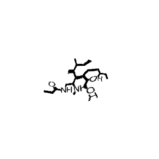 C=CC(=O)NCC(NC)/C(C(=C)C(C)CC)=C(/C=C\C(C)CC)C(O)CO